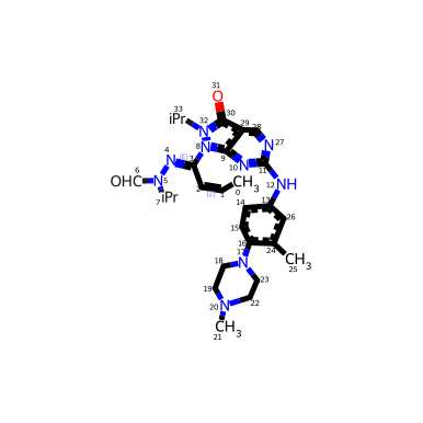 C/C=C\C(=N/N(C=O)C(C)C)n1c2nc(Nc3ccc(N4CCN(C)CC4)c(C)c3)ncc2c(=O)n1C(C)C